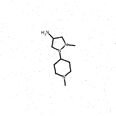 CN1CCC(N2CC(N)CN2C)CC1